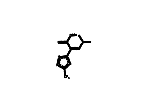 COC(=O)C(=CN(C)C)c1nnc(C(F)(F)F)s1